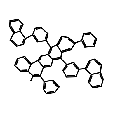 Ic1c(-c2ccccc2)c2cc3c(-c4cccc(-c5cccc6ccccc56)c4)c4cc(-c5ccccc5)ccc4c(-c4cccc(-c5cccc6ccccc56)c4)c3cc2c2ccccc12